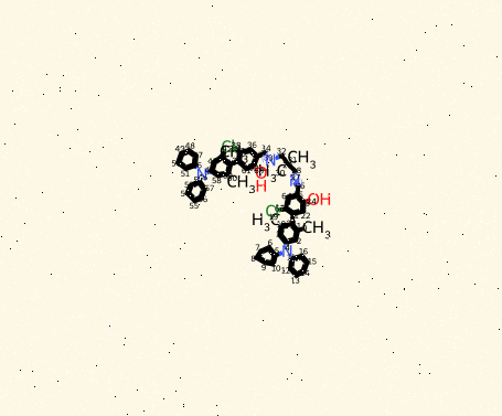 Cc1cc(N(c2ccccc2)c2ccccc2)cc(C)c1-c1cc(O)c(/C=N/CC(C)(C)C/N=C/c2cc(Cl)c(-c3c(C)cc(N(c4ccccc4)c4ccccc4)cc3C)cc2O)cc1Cl